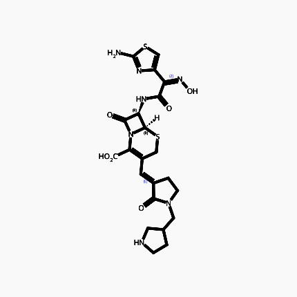 Nc1nc(/C(=N/O)C(=O)N[C@@H]2C(=O)N3C(C(=O)O)=C(/C=C4\CCN(CC5CCNC5)C4=O)CS[C@H]23)cs1